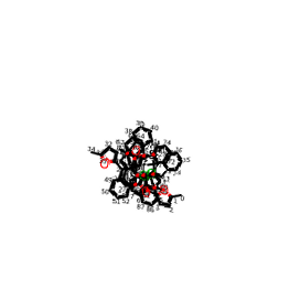 Cc1ccc(-c2ccccc2C2=Cc3ccccc3[C]23[SiH](C)[C]2(C(c4ccccc4-c4ccc(C)o4)=Cc4ccccc42)[Hf]32([Cl])([Cl])[C]3(C(c4ccccc4-c4ccc(C)o4)=Cc4ccccc43)[SiH](C)[C]23C(c2ccccc2-c2ccc(C)o2)=Cc2ccccc23)o1